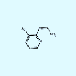 C/C=N\c1ncccc1C(C)=O